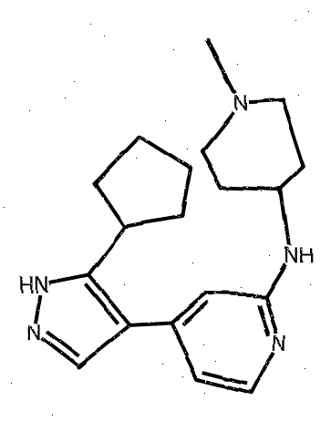 CN1CCC(Nc2cc(-c3cn[nH]c3C3CCCC3)ccn2)CC1